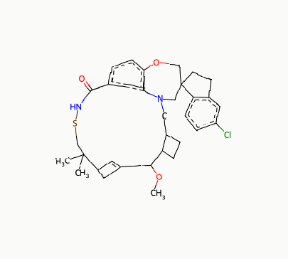 COC1C2=CC(C2)C(C)(C)CSNC(=O)c2ccc3c(c2)N(CC2CCC21)CC1(CCc2cc(Cl)ccc21)CO3